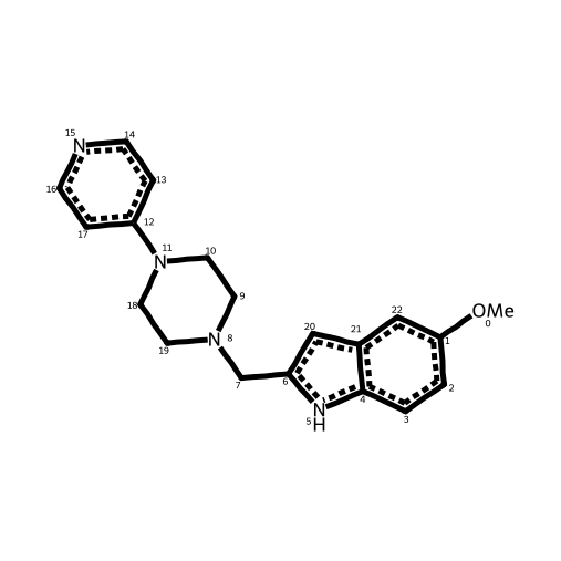 COc1ccc2[nH]c(CN3CCN(c4ccncc4)CC3)cc2c1